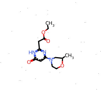 CCOC(=O)Cc1nc(N2CCOC(C)C2)cc(=O)[nH]1